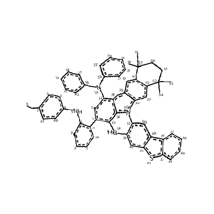 Cc1ccc(Nc2ccccc2-c2cc(N(c3ccccc3)c3ccccc3)c3c4cc5c(cc4n4c3c2Bc2cc3sc6ccccc6c3cc2-4)C(C)(C)CCC5(C)C)cc1